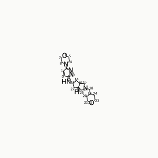 c1cc(N2CCOCC2)nnc1N[C@@H]1CC2CN(CC3CCOCC3)C[C@H]2C1